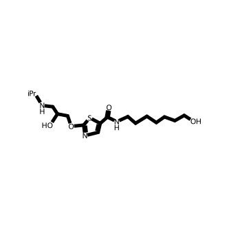 CC(C)NCC(O)COc1ncc(C(=O)NCCCCCCCO)s1